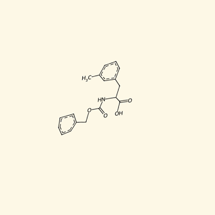 Cc1cccc(CC(NC(=O)OCc2ccccc2)C(=O)O)c1